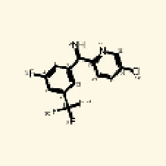 N=C(c1cc(F)cc(C(F)(F)F)c1)c1ccc(Cl)cn1